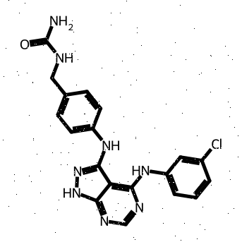 NC(=O)NCc1ccc(Nc2n[nH]c3ncnc(Nc4cccc(Cl)c4)c23)cc1